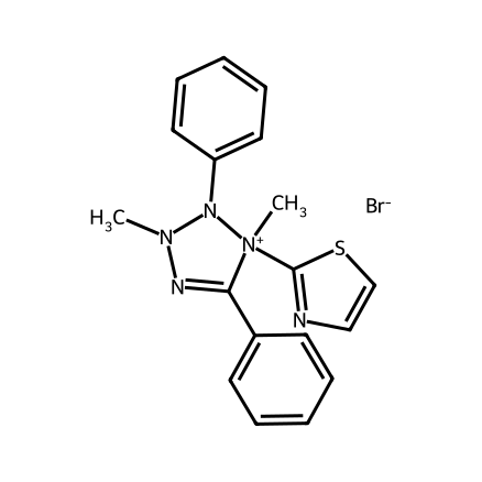 CN1N=C(c2ccccc2)[N+](C)(c2nccs2)N1c1ccccc1.[Br-]